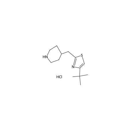 CC(C)(C)c1csc(CC2CCNCC2)n1.Cl